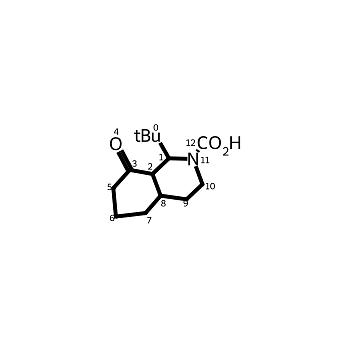 CC(C)(C)C1C2C(=O)CCCC2CCN1C(=O)O